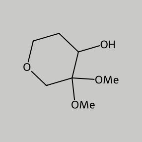 COC1(OC)COCCC1O